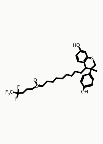 CC1(c2ccc(O)cc2)CSc2cc(O)ccc2C1CCCCCCCCC[S+]([O-])CCCC(F)(F)C(F)(F)F